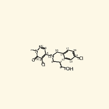 Cn1ncc(N(CCCO)Cc2ccc(Cl)cc2)c(Cl)c1=O